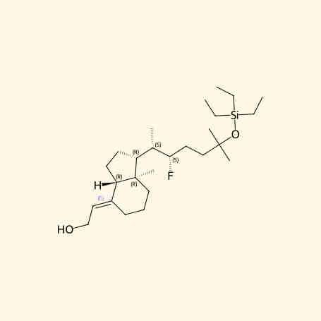 CC[Si](CC)(CC)OC(C)(C)CC[C@H](F)[C@@H](C)[C@H]1CC[C@H]2/C(=C/CO)CCC[C@]12C